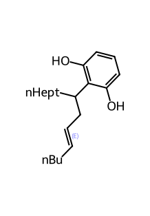 CCCC/C=C/CC(CCCCCCC)c1c(O)cccc1O